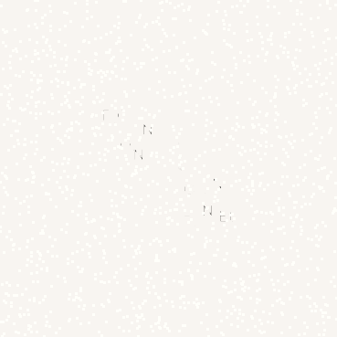 CCN(CC)C(=O)N(C)Cc1ccc(-c2noc(C(F)(F)F)n2)cc1